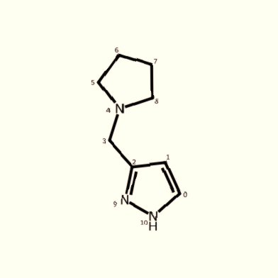 c1cc(CN2CCCC2)n[nH]1